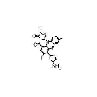 NC1CCC(c2c(F)cc3c(=O)c4c(=O)[nH]sc4n(-c4ccc(F)cc4)c3c2F)C1